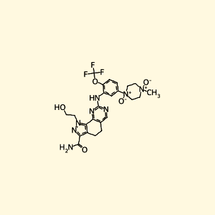 C[N+]1([O-])CC[N+]([O-])(c2ccc(OC(F)(F)F)c(Nc3ncc4c(n3)-c3c(c(C(N)=O)nn3CCO)CC4)c2)CC1